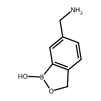 NCc1ccc2c(c1)B(O)OC2